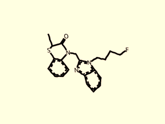 CC1Sc2ccccc2N(Cc2nc3ccccc3n2CCCCF)C1=O